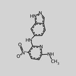 CNc1ccc([N+](=O)[O-])c(Nc2ccc3cn[nH]c3c2)n1